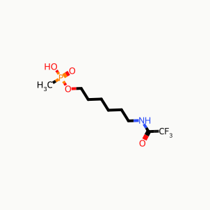 CP(=O)(O)OCCCCCCNC(=O)C(F)(F)F